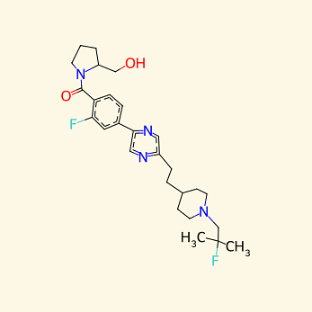 CC(C)(F)CN1CCC(CCc2cnc(-c3ccc(C(=O)N4CCCC4CO)c(F)c3)cn2)CC1